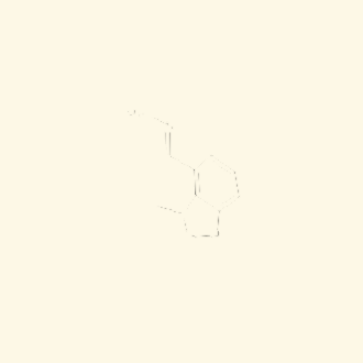 CON=Cc1cccc2c1B(O)OC2